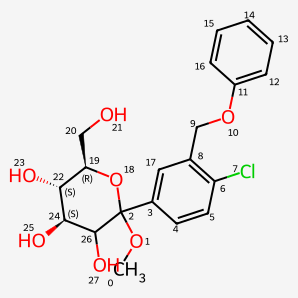 COC1(c2ccc(Cl)c(COc3ccccc3)c2)O[C@H](CO)[C@@H](O)[C@H](O)C1O